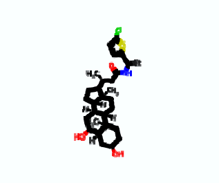 CCC(NC(=O)C[C@@H](C)C1CC[C@H]2[C@@H]3C[C@H](O)[C@@H]4C[C@H](O)CC[C@]4(C)[C@H]3CC[C@]12C)c1ccc(Cl)s1